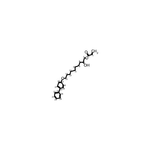 C=CC(=O)OCC(O)CCCCCCCCOc1ccc(-c2ccccc2)cc1